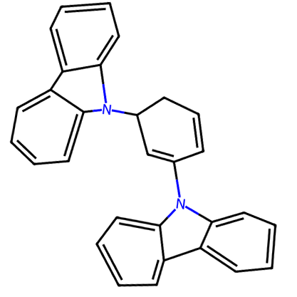 C1=CC(n2c3ccccc3c3ccccc32)=CC(n2c3ccccc3c3ccccc32)C1